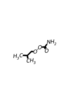 CC(C)COOC(N)=O